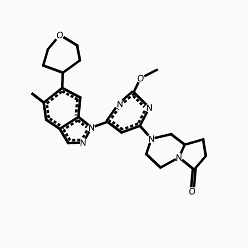 COc1nc(N2CCN3C(=O)CCC3C2)cc(-n2ncc3cc(C)c(C4CCOCC4)cc32)n1